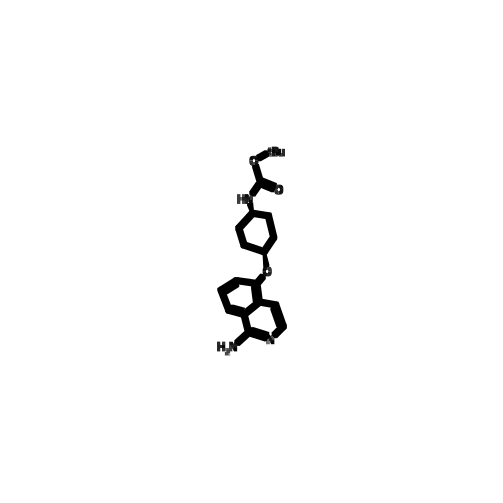 CC(C)(C)OC(=O)N[C@H]1CC[C@@H](Oc2cccc3c(N)nccc23)CC1